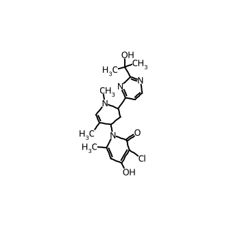 CC1=CN(C)C(c2ccnc(C(C)(C)O)n2)CC1n1c(C)cc(O)c(Cl)c1=O